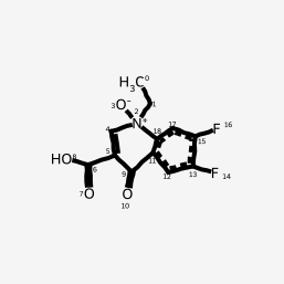 CC[N+]1([O-])C=C(C(=O)O)C(=O)c2cc(F)c(F)cc21